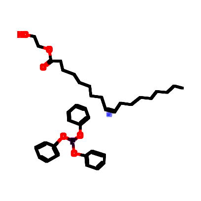 CCCCCCCC/C=C\CCCCCCCC(=O)OCCO.c1ccc(OP(Oc2ccccc2)Oc2ccccc2)cc1